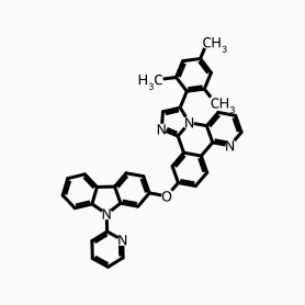 Cc1cc(C)c(-c2cnc3c4cc(Oc5ccc6c7ccccc7n(-c7ccccn7)c6c5)ccc4c4ncccc4n23)c(C)c1